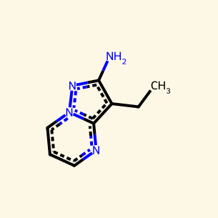 CCc1c(N)nn2cccnc12